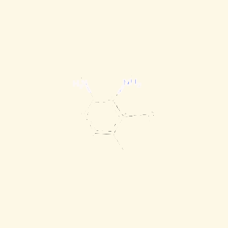 Cc1ccc(N)c(N)c1C(C)C